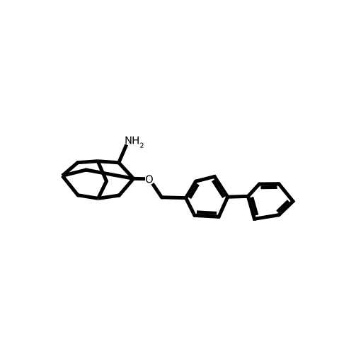 NC1C2CC3CC(C2)CC1(OCc1ccc(-c2ccccc2)cc1)C3